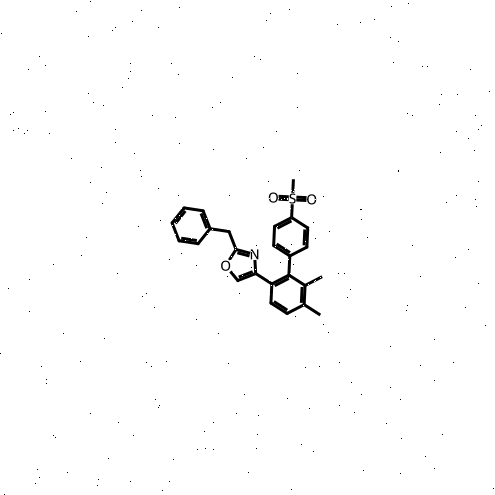 Cc1ccc(-c2coc(Cc3ccccc3)n2)c(-c2ccc(S(C)(=O)=O)cc2)c1C